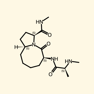 CNC(=O)[C@@H]1CC[C@@H]2CCCC[C@H](NC(=O)[C@H](C)NC)C(=O)N21